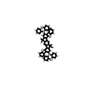 CC1(C)c2cc3c(cc2-c2c1cc(N1c4ccccc4Oc4ccccc41)c1c2oc2ccccc21)C(C)(C)c1cc(N2c4ccccc4Oc4ccccc42)c2c(oc4ccccc42)c1-3